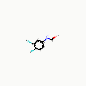 O=[C]Nc1ccc(F)c(F)c1